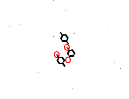 C=C1C=CC(=O)C=C1Oc1cccc(OCc2ccc(C)cc2)c1